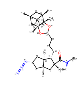 CC(=O)N[C@@]1(C(=O)NC(C)(C)C)C[C@H]2C[C@H](N=[N+]=[N-])C[C@H]2[C@@H]1CCCB1O[C@@H]2C[C@@H]3C[C@@H](C3(C)C)[C@]2(C)O1